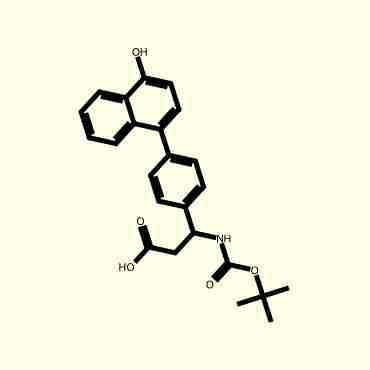 CC(C)(C)OC(=O)NC(CC(=O)O)c1ccc(-c2ccc(O)c3ccccc23)cc1